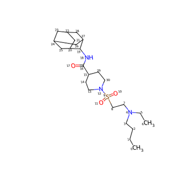 CCCCN(CC)CCS(=O)(=O)N1CCC(C(=O)NC2C3CC4CC(C3)CC2C4)CC1